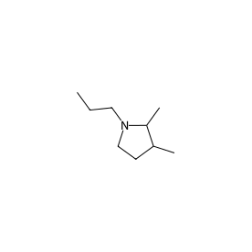 CCCN1CCC(C)C1C